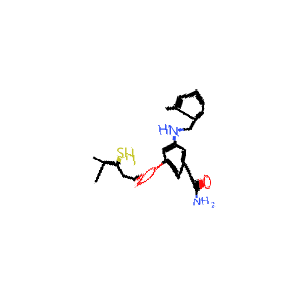 CC(C)=C(S)CCOc1cc(NCc2ccccc2C)cc(C(N)=O)c1